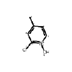 Cc1cc[n+](O)c(Cl)c1